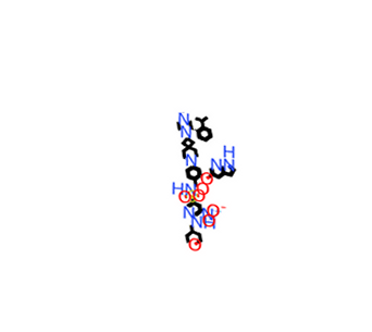 CC(C)c1ccccc1[C@H]1CN(C)CCN1C1CC2(CCN(c3ccc(C(=O)NS(=O)(=O)c4cnc(NCC5CCOCC5)c([N+](=O)[O-])c4)c(Oc4cnc5[nH]ccc5c4)c3)CC2)C1